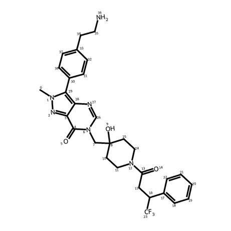 Cn1nc2c(=O)n(CC3(O)CCN(C(=O)CC(c4ccccc4)C(F)(F)F)CC3)cnc2c1-c1ccc(CCN)cc1